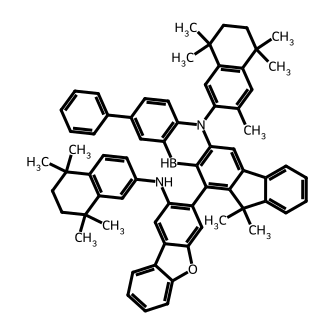 Cc1cc2c(cc1N1c3ccc(-c4ccccc4)cc3Bc3c1cc1c(c3-c3cc4oc5ccccc5c4cc3Nc3ccc4c(c3)C(C)(C)CCC4(C)C)C(C)(C)c3ccccc3-1)C(C)(C)CCC2(C)C